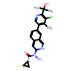 Cc1c(-c2ccc3c(c2)=CNC(N(N)C(=O)[C@@H]2C[C@@H]2F)C=3)cnc(C(C)(C)O)c1Cl